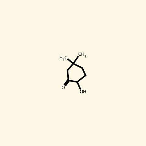 CC1(C)CCC(O)C(=O)C1